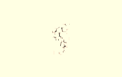 O=S1(=O)CCc2c1ccc1ncnc(Nc3ccc(CO)nc3)c21